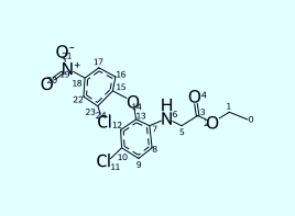 CCOC(=O)CNc1ccc(Cl)cc1Oc1ccc([N+](=O)[O-])cc1Cl